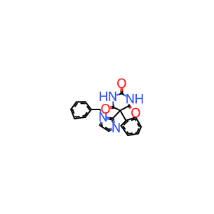 O=C1NC(=O)C(c2ccccc2)(c2nccn2Cc2ccccc2)C(=O)N1